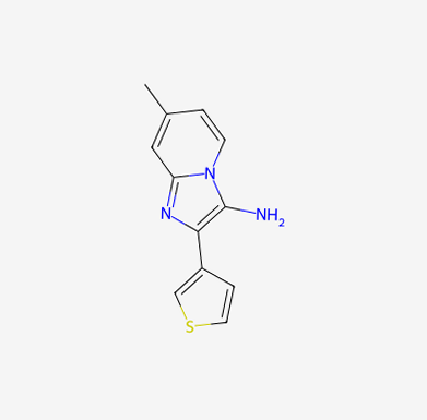 Cc1ccn2c(N)c(-c3ccsc3)nc2c1